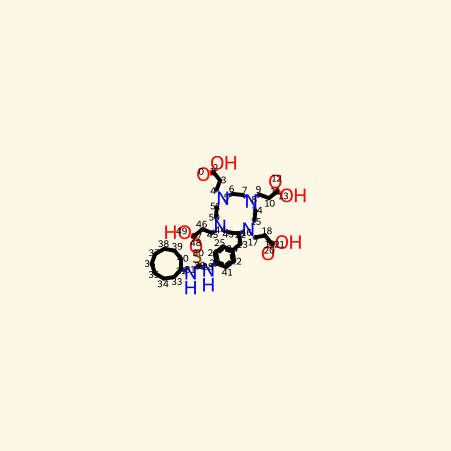 O=C(O)CCN1CCN(CCC(=O)O)CCN(CCC(=O)O)C(Cc2ccc(NC(=S)NC3CCCCCCCC3)cc2)CN(CCC(=O)O)CC1